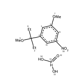 CCC(CC)(OC)c1cc(OC)cc([N+](=O)[O-])c1.O=[PH](O)O